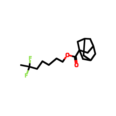 CC(F)(F)CCCCCOC(=O)C12CC3CC(CC(C3)C1)C2